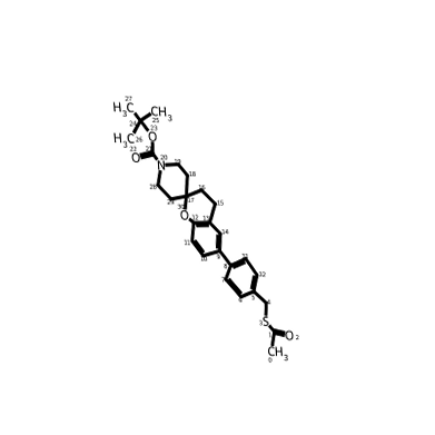 CC(=O)SCc1ccc(-c2ccc3c(c2)CCC2(CCN(C(=O)OC(C)(C)C)CC2)O3)cc1